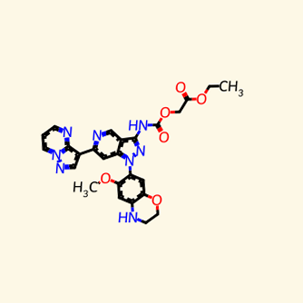 CCOC(=O)COC(=O)Nc1nn(-c2cc3c(cc2OC)NCCO3)c2cc(-c3cnn4cccnc34)ncc12